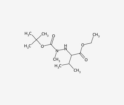 CCOC(=O)C(NN(C)C(=O)OC(C)(C)C)C(C)C